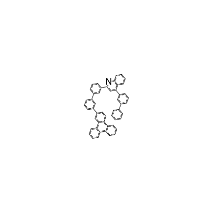 c1ccc(-c2cccc(-c3cc(-c4cccc(-c5cccc(-c6ccc7c8ccccc8c8ccccc8c7c6)c5)c4)nc4ccccc34)c2)cc1